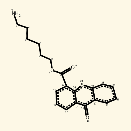 NCCCCCCOC(=O)c1cccc2c(=O)c3ccccc3sc12